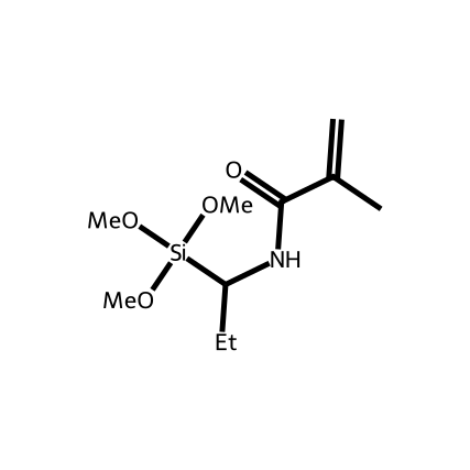 C=C(C)C(=O)NC(CC)[Si](OC)(OC)OC